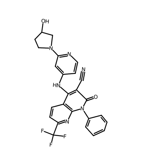 N#Cc1c(Nc2ccnc(N3CCC(O)C3)c2)c2ccc(C(F)(F)F)nc2n(-c2ccccc2)c1=O